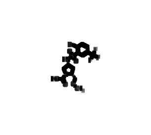 COC[C@H]1C[C@@H](NS(=O)(=O)c2cc(C(F)(F)F)ccc2Br)CN1C(=O)O